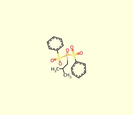 CC(C)CP(=O)(S(=O)(=O)c1ccccc1)S(=O)(=O)c1ccccc1